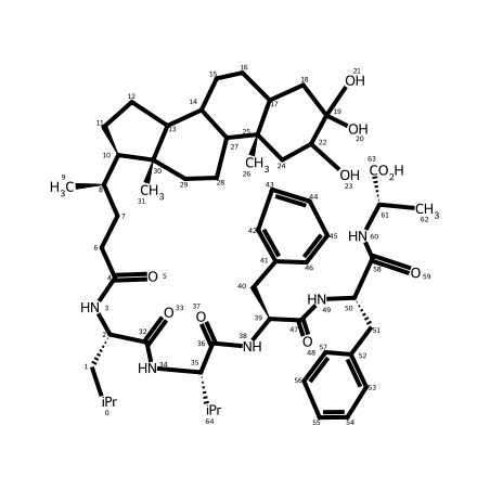 CC(C)C[C@H](NC(=O)CC[C@@H](C)[C@H]1CCC2C3CCC4CC(O)(O)C(O)C[C@]4(C)C3CC[C@@]21C)C(=O)N[C@H](C(=O)N[C@@H](Cc1ccccc1)C(=O)N[C@@H](Cc1ccccc1)C(=O)N[C@@H](C)C(=O)O)C(C)C